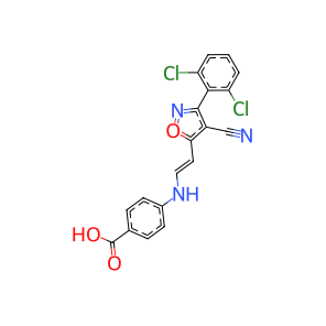 N#Cc1c(-c2c(Cl)cccc2Cl)noc1C=CNc1ccc(C(=O)O)cc1